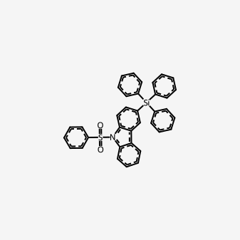 O=S(=O)(c1ccccc1)n1c2ccccc2c2cc([Si](c3ccccc3)(c3ccccc3)c3ccccc3)ccc21